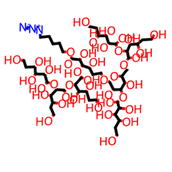 [N-]=[N+]=NCCCCCOC(O)C(O)C(OC(O)C(OC(O)C(OC(O)C(O)C(O)C(O)CCO)C(O)C(O)CCO)C(O)C(O)CCO)C(O)CCOC1OC(COC(O)C(OC(O)C(O)C(O)C(O)CCO)C(O)C(O)CCO)C(O)C(OC(O)C(O)C(O)C(O)CCO)C1O